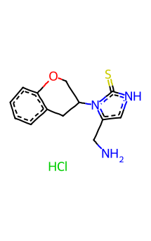 Cl.NCc1c[nH]c(=S)n1C1COc2ccccc2C1